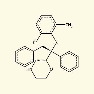 Cc1cccc(Cl)c1S[C@](Cc1ccccc1)(c1ccccc1)[C@H]1CNCCO1